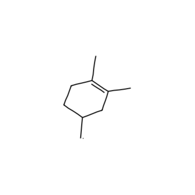 [CH2]C1CCC(C)=C(C)C1